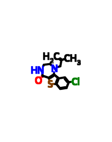 C=C(C)CN1CCNC(=O)c2sc3ccc(Cl)cc3c21